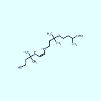 COC(C)CCOC(C)(C)CCN/C=C\NC(C)(C)CCO